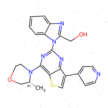 C[C@@H]1COCCN1c1nc(-n2c(CO)nc3ccccc32)nc2c(-c3ccncc3)csc12